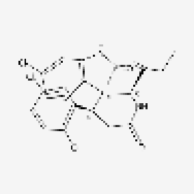 C=C(CC)[C@H]1NC(=O)C[C@@H](c2cc(Cl)ccc2O)[C@]12C(=O)Nc1cc(Cl)ccc12